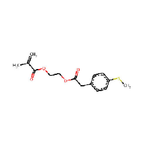 C=C(C)C(=O)OCCOC(=O)Cc1ccc(SC)cc1